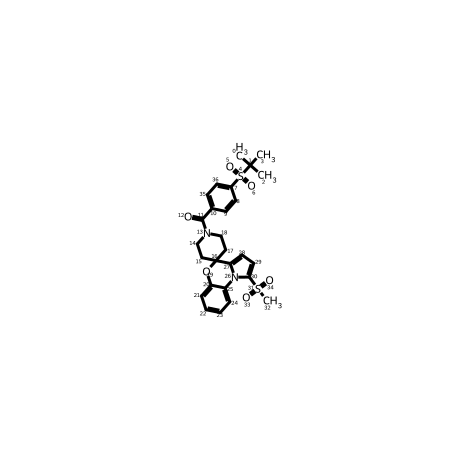 CC(C)(C)S(=O)(=O)c1ccc(C(=O)N2CCC3(CC2)Oc2ccccc2-n2c3ccc2S(C)(=O)=O)cc1